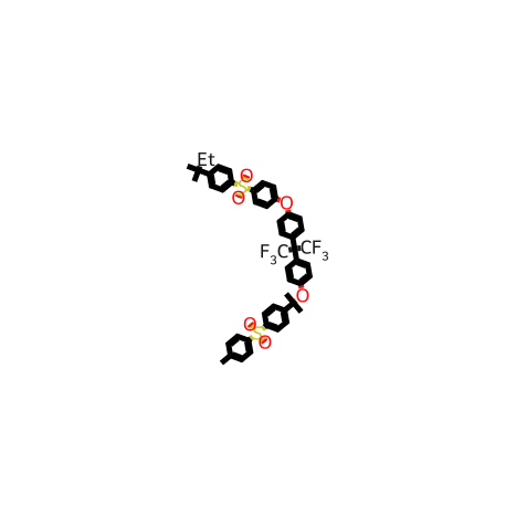 CCC(C)(C)c1ccc(S(=O)(=O)c2ccc(Oc3ccc(C(c4ccc(OC(C)(C)c5ccc(S(=O)(=O)c6ccc(C)cc6)cc5)cc4)(C(F)(F)F)C(F)(F)F)cc3)cc2)cc1